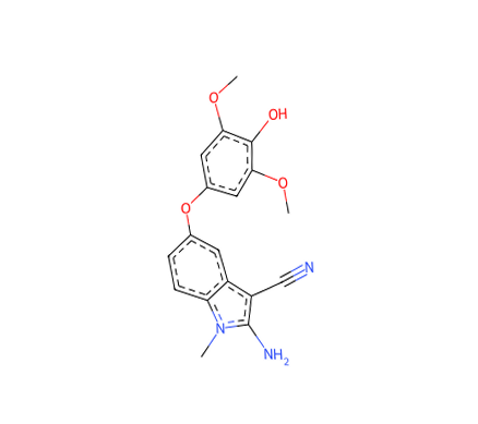 COc1cc(Oc2ccc3c(c2)c(C#N)c(N)n3C)cc(OC)c1O